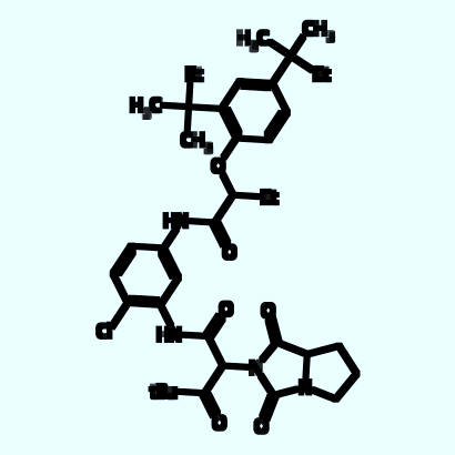 CCC(Oc1ccc(C(C)(C)CC)cc1C(C)(C)CC)C(=O)Nc1ccc(Cl)c(NC(=O)C(C(=O)C(C)(C)C)N2C(=O)C3CCCN3C2=O)c1